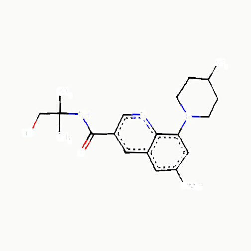 COc1cc(N2CCC(C(F)(F)F)CC2)c2ncc(C(=O)NC(C)(C)CO)cc2c1